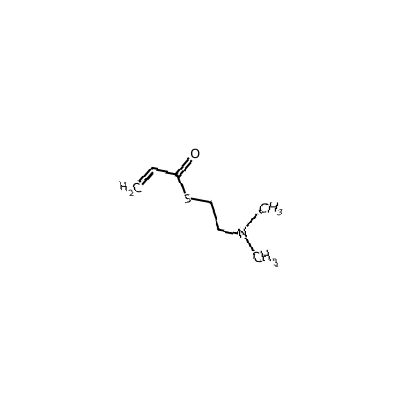 C=CC(=O)SCCN(C)C